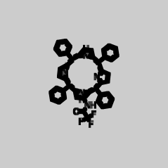 O=C(Nc1cc2[nH]c1c(-c1ccccc1)c1nc(c(-c3ccccc3)c3ccc([nH]3)c(-c3ccccc3)c3nc(c2-c2ccccc2)C=C3)C=C1)C(F)(F)F